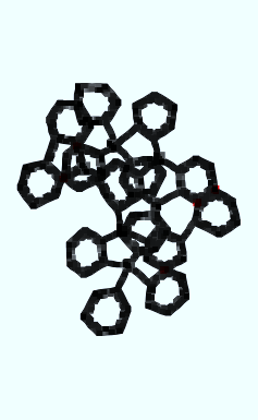 c1ccc(-c2cccc3c2B2c4ccccc4N(c4ccccc4[Si](c4ccccc4)(c4ccccc4)c4ccccc4)c4cc(-n5c6ccccc6c6ccccc65)cc(c42)N3c2ccccc2[Si](c2ccccc2)(c2ccccc2)c2ccccc2)cc1